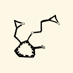 Brc1cccc(CC2CO2)c1OCCC1CO1